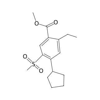 CCc1cc(C2CCCC2)c(S(C)(=O)=O)cc1C(=O)OC